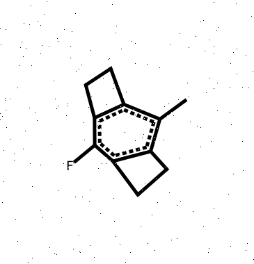 Cc1c2c(c(F)c3c1CC3)CC2